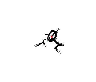 CC(C)(C)C(=O)O[C@@H]1C2[C@H]3C[C@H](C[C@@H]1C3)CN2C(=O)CC(F)(F)F